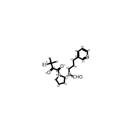 CCC(C)(C)C(=O)C(=O)N1CCC[C@H]1N(C=O)CCCc1cccnc1